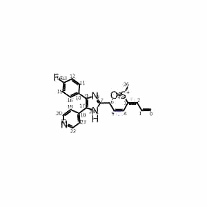 C=C/C=C(\C=C/Cc1nc(-c2ccc(F)cc2)c(-c2ccncc2)[nH]1)[S+](C)[O-]